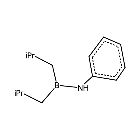 CC(C)CB(CC(C)C)Nc1ccccc1